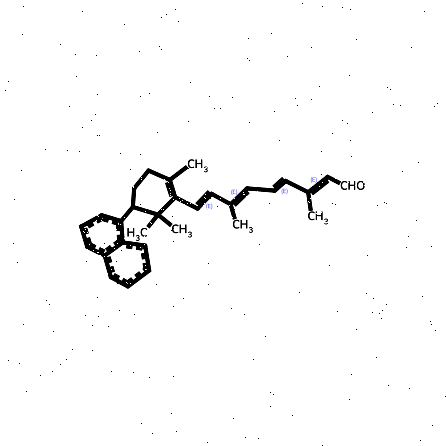 CC1=C(/C=C/C(C)=C/C=C/C(C)=C/C=O)C(C)(C)C(c2cccc3ccccc23)CC1